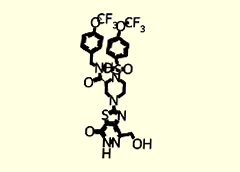 O=C(NCc1ccc(OC(F)(F)F)cc1)[C@H]1CN(c2nc3c(CO)n[nH]c(=O)c3s2)CCN1S(=O)(=O)c1ccc(OC(F)(F)F)cc1